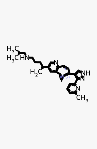 C=C(CCCNCC(C)C)c1cnc2c(c1)/C=C/C=C(c1c[nH]nc1-c1cccc(C)n1)/C=C\2